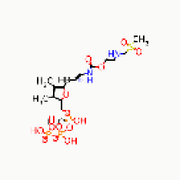 C=P(O)(OCC1OC(B/C=C/NC(=O)OCCNCS(C)(=O)=O)C(C)C1C)OP(=O)(O)OP(=O)(O)O